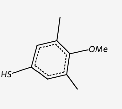 COc1c(C)cc(S)cc1C